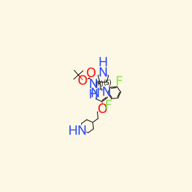 CC(C)(C)OC(=O)N[C@@]1(c2ncc(OCCC3CCNCC3)cn2)CNC[C@@H]1c1cc(F)ccc1F